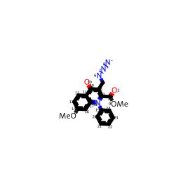 COC(=O)c1c(CN=[N+]=[N-])c(=O)c2ccc(OC)cc2n1-c1ccccc1